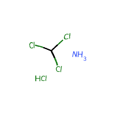 Cl.ClC(Cl)Cl.N